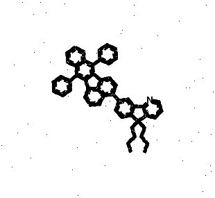 CCCCC1(CCCC)c2ccc(-c3ccc4c5c(cccc35)-c3c-4c(-c4ccccc4)c4ccccc4c3-c3ccccc3)cc2-c2ncccc21